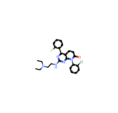 CCN(CC)CCNc1nc(-c2ccccc2F)c2ccc(=O)n(-c3ccccc3Cl)c2n1